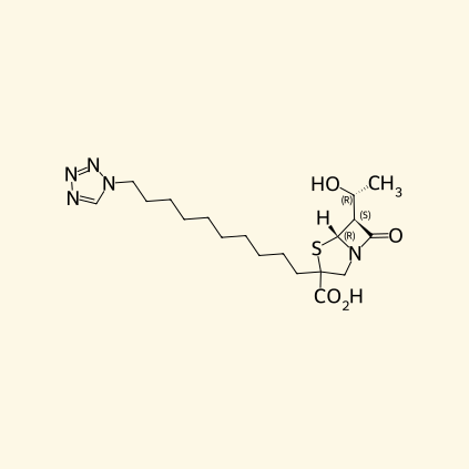 C[C@@H](O)[C@H]1C(=O)N2CC(CCCCCCCCCCn3cnnn3)(C(=O)O)S[C@H]12